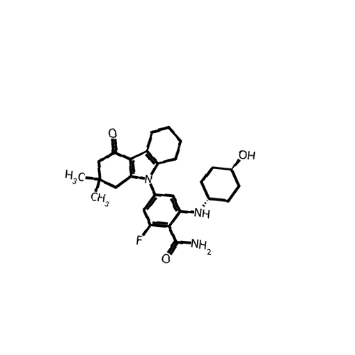 CC1(C)CC(=O)c2c3c(n(-c4cc(F)c(C(N)=O)c(N[C@H]5CC[C@H](O)CC5)c4)c2C1)CCCC3